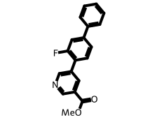 COC(=O)c1cncc(-c2ccc(-c3ccccc3)cc2F)c1